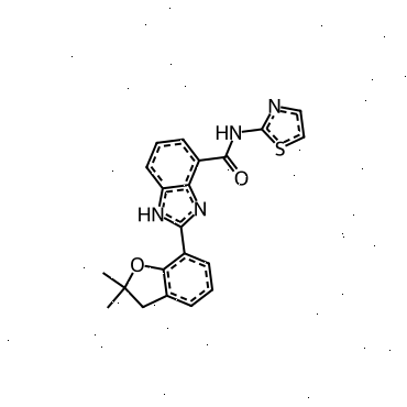 CC1(C)Cc2cccc(-c3nc4c(C(=O)Nc5nccs5)cccc4[nH]3)c2O1